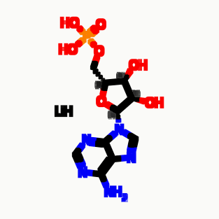 Nc1ncnc2c1ncn2[C@@H]1O[C@H](COP(=O)(O)O)[C@@H](O)[C@H]1O.[LiH]